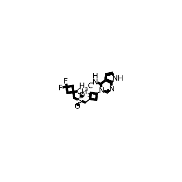 CNC1c2cc[nH]c2N=CN1[C@H]1C[C@H](CS(=O)(=O)CC2(C)CC(F)(F)C2)C1